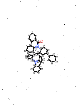 O=c1c2ccccc2c2cccc3c2n1-c1ccc(-c2ccccc2)cc1C31c2ccccc2-n2c3ccccc3c3cccc1c32